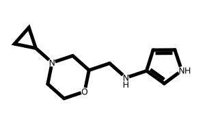 c1cc(NCC2CN(C3CC3)CCO2)c[nH]1